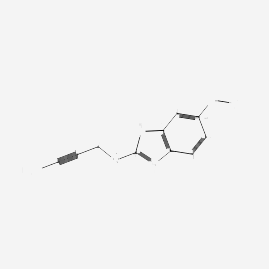 CC#CCNc1nc2ccc(OC(F)(F)F)cc2s1